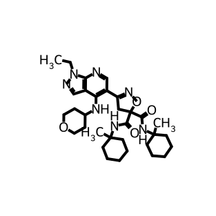 CCn1ncc2c(NC3CCOCC3)c(C3=NOC(C(=O)NC4(C)CCCCC4)(C(=O)NC4(C)CCCCC4)C3)cnc21